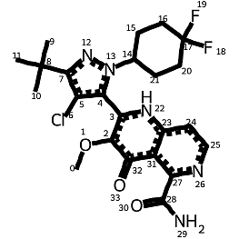 COc1c(-c2c(Cl)c(C(C)(C)C)nn2C2CCC(F)(F)CC2)[nH]c2ccnc(C(N)=O)c2c1=O